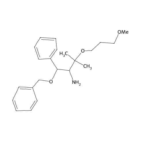 COCCCOC(C)(C)C(N)C(OCc1ccccc1)c1ccccc1